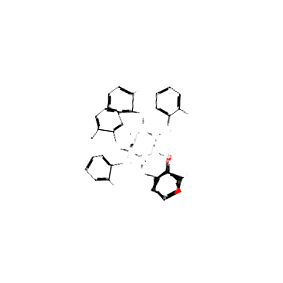 Clc1ccccc1ON1P(Oc2ccccc2Cl)N=P(Oc2ccccc2Cl)(Oc2ccccc2Cl)N(Oc2ccccc2Cl)P1Oc1ccccc1Cl